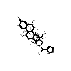 CC(c1ccco1)N1C[C@@H]2C[C@H]3[C@@H]4C[C@H](F)C5=CC(=O)C=C[C@]5(C)[C@@]4(F)[C@@H](O)C[C@]3(C)[C@]2(C(=O)CO)O1